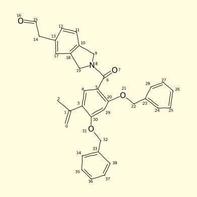 C=C(C)c1cc(C(=O)N2Cc3ccc(CC=O)cc3C2)c(OCc2ccccc2)cc1OCc1ccccc1